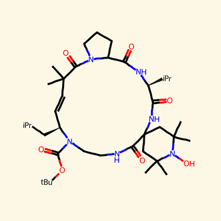 CC(C)C[C@H]1/C=C/C(C)(C)C(=O)N2CCCC2C(=O)N[C@@H](C(C)C)C(=O)NC2(CC(C)(C)N(O)C(C)(C)C2)C(=O)NCCN1C(=O)OC(C)(C)C